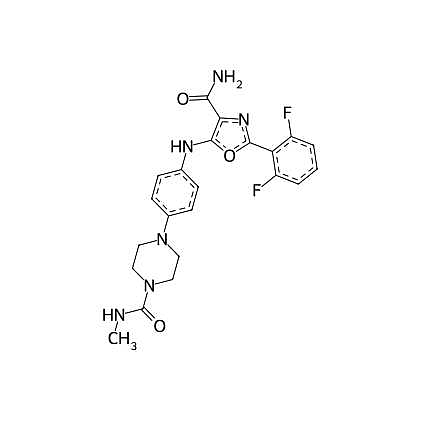 CNC(=O)N1CCN(c2ccc(Nc3oc(-c4c(F)cccc4F)nc3C(N)=O)cc2)CC1